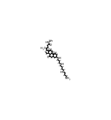 CC(C)NC(=O)CC[C@@H](C)[C@H]1CCC2C3C(=O)CC4C[C@@H](NCCCNCCCCNCCCN)CC[C@]4(C)C3CC[C@@]21C